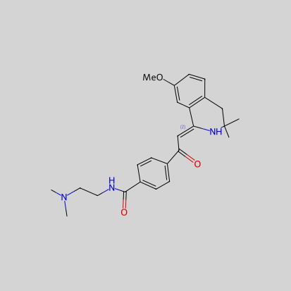 COc1ccc2c(c1)/C(=C/C(=O)c1ccc(C(=O)NCCN(C)C)cc1)NC(C)(C)C2